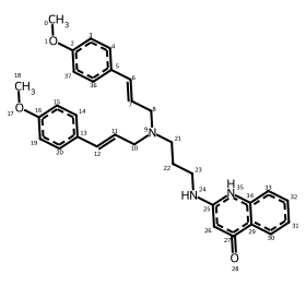 COc1ccc(C=CCN(CC=Cc2ccc(OC)cc2)CCCNc2cc(=O)c3ccccc3[nH]2)cc1